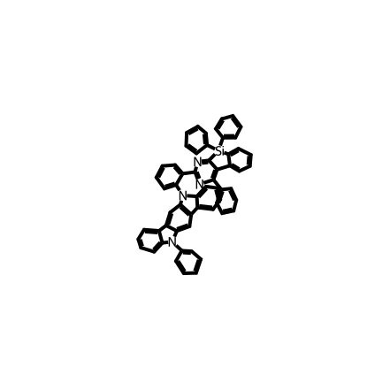 c1ccc(-c2nc(-c3ccccc3-n3c4ccccc4c4cc5c(cc43)c3ccccc3n5-c3ccccc3)nc3c2-c2ccccc2[Si]3(c2ccccc2)c2ccccc2)cc1